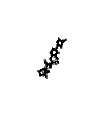 Cc1ncc(-c2ccc(C[C@@H](C#N)NC(=O)[C@H]3N[C@@H]4CCC3C4)c(F)c2)s1